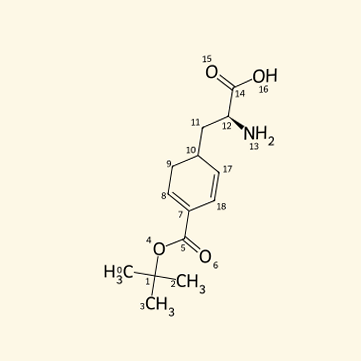 CC(C)(C)OC(=O)C1=CCC(C[C@H](N)C(=O)O)C=C1